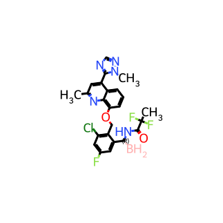 B[C@@H](NC(=O)C(C)(F)F)c1cc(F)cc(Cl)c1COc1cccc2c(-c3ncnn3C)cc(C)nc12